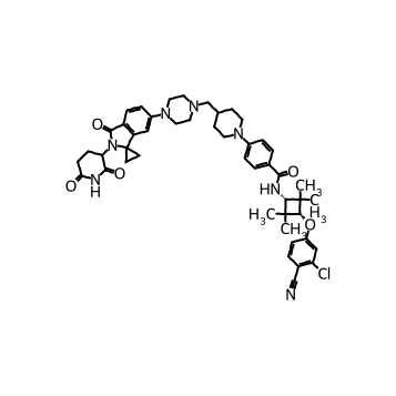 CC1(C)[C@H](NC(=O)c2ccc(N3CCC(CN4CCN(c5ccc6c(c5)C5(CC5)N(C5CCC(=O)NC5=O)C6=O)CC4)CC3)cc2)C(C)(C)[C@H]1Oc1ccc(C#N)c(Cl)c1